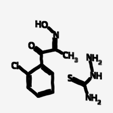 C/C(=N/O)C(=O)c1ccccc1Cl.NNC(N)=S